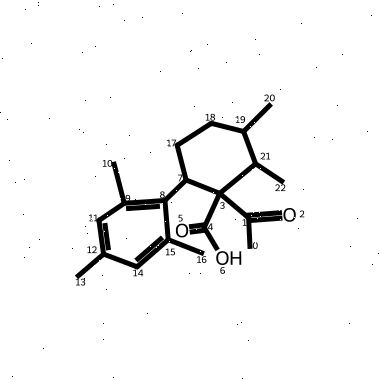 CC(=O)C1(C(=O)O)C(c2c(C)cc(C)cc2C)CCC(C)C1C